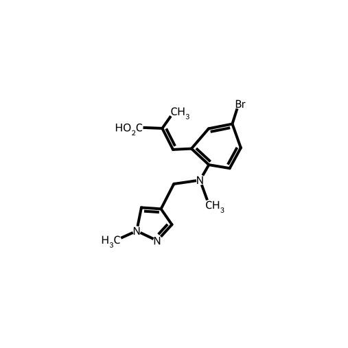 C/C(=C\c1cc(Br)ccc1N(C)Cc1cnn(C)c1)C(=O)O